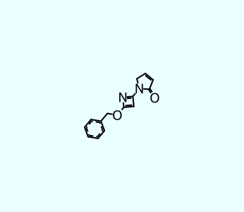 O=C1C=CCN1C1=NC(OCc2ccccc2)=C1